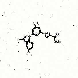 COC(=O)C1CN(c2cc(C)cc(-n3cc(Cl)c4cc(C(F)(F)F)ccc43)c2)C1